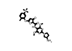 COc1nc(N2CCC(N)C2)nc(OC)c1NC(=O)C1OC(Oc2cc([Si](C)(C)C)ccc2C)=CC1=O